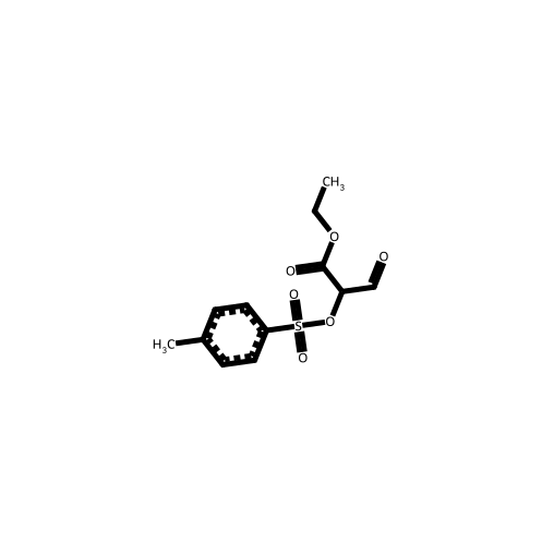 CCOC(=O)C(C=O)OS(=O)(=O)c1ccc(C)cc1